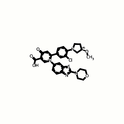 CO[C@@H]1CCN(c2ccc(-c3cc(=O)c(C(=O)O)cn3-c3ccc4nc(N5CCOCC5)sc4c3)cc2Cl)C1